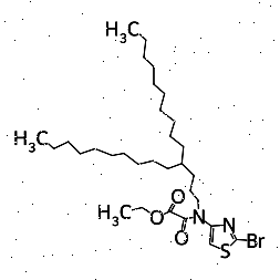 CCCCCCCCCCC(CCCCCCCCCC)CCCN(C(=O)C(=O)OCC)c1csc(Br)n1